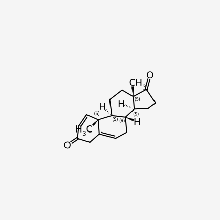 C[C@]12C=CC(=O)CC1=CC[C@@H]1[C@@H]2CC[C@]2(C)C(=O)CC[C@@H]12